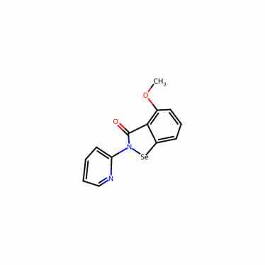 COc1cccc2[se]n(-c3ccccn3)c(=O)c12